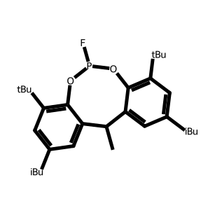 CCC(C)c1cc2c(c(C(C)(C)C)c1)OP(F)Oc1c(cc(C(C)CC)cc1C(C)(C)C)C2C